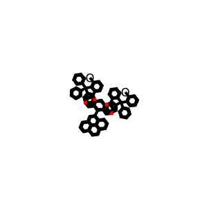 c1ccc(C2(c3ccccc3)c3ccccc3Oc3cccc(-c4cccc5c(-c6cc7cccc8ccc9cccc6c9c87)c6cccc(-c7cccc8c7C(c7ccccc7)(c7ccccc7)c7ccccc7O8)c6cc45)c32)cc1